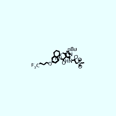 CCCCn1nc(NC(=O)CS(C)(=O)=O)c2c1C[C@]1(CCCc3cc(OCCCC(F)(F)F)ccc31)NC2=O